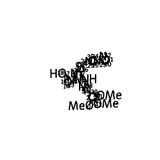 COc1cc(-n2cnc(Nc3nc(N4CCCC4CO)nc4sc(CN5CCN(c6ccccn6)CC5)cc34)c2)cc(OC)c1OC